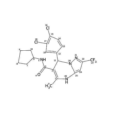 CC1=C(C(=O)NC2CCCC2)C(c2ccc(Cl)c(Cl)c2)n2nc(C(F)(F)F)cc2N1